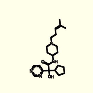 CC(C)=CCCN1CCC(NC(=O)C(O)(c2ccncn2)C2CCCC2)CC1